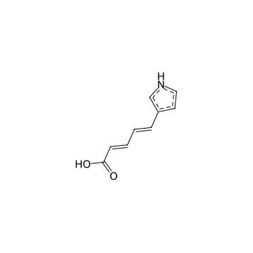 O=C(O)C=CC=Cc1cc[nH]c1